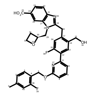 Cc1ccc(COc2cccc(-c3cc(CO)c(Cc4nc5ccc(C(=O)O)cc5n4C[C@@H]4CCO4)cc3F)n2)c(F)c1